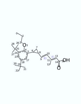 CCCOc1c(C2CC2/C=C/C(C)=C/C(=O)O)cc(C(C)(C)C)cc1C(C)(C)C